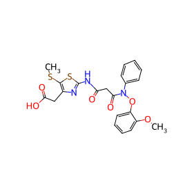 COc1ccccc1ON(C(=O)CC(=O)Nc1nc(CC(=O)O)c(SC)s1)c1ccccc1